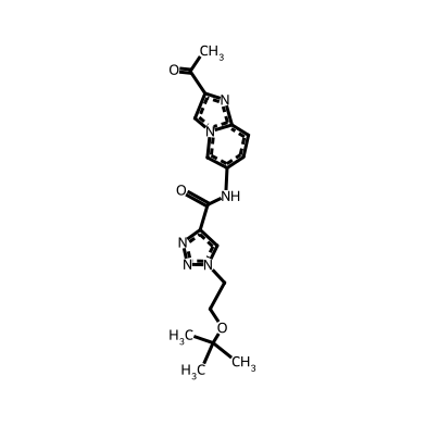 CC(=O)c1cn2cc(NC(=O)c3cn(CCOC(C)(C)C)nn3)ccc2n1